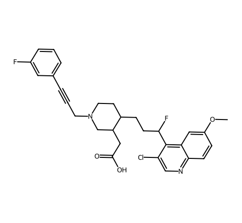 COc1ccc2ncc(Cl)c(C(F)CCC3CCN(CC#Cc4cccc(F)c4)CC3CC(=O)O)c2c1